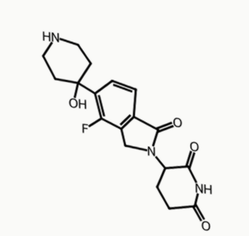 O=C1CCC(N2Cc3c(ccc(C4(O)CCNCC4)c3F)C2=O)C(=O)N1